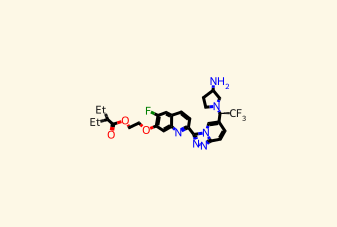 CCC(CC)C(=O)OCCOc1cc2nc(-c3nnc4ccc([C@@H](N5CCC(N)C5)C(F)(F)F)cn34)ccc2cc1F